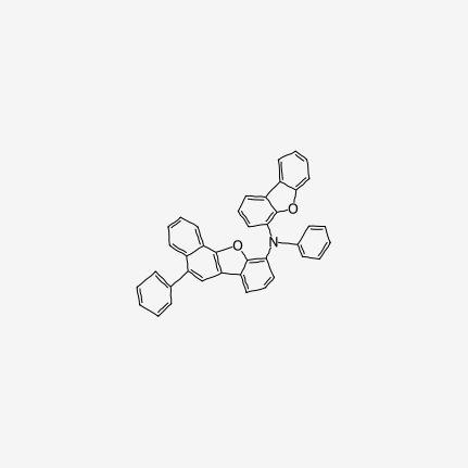 c1ccc(-c2cc3c4cccc(N(c5ccccc5)c5cccc6c5oc5ccccc56)c4oc3c3ccccc23)cc1